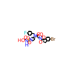 O=C(O)NS(=O)(=O)N1CC[C@@H](N(Cc2ccc(F)cc2)C(=O)CN2C(=O)O[C@@]3(CCc4cc(Br)ccc43)C2=O)C1